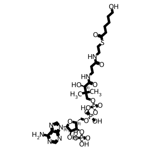 CC(C)(COP(=O)(O)OP(=O)(O)OC[C@H]1O[C@@H](n2cnc3c(N)ncnc32)[C@H](O)[C@@H]1OP(=O)(O)O)[C@@H](O)C(=O)NCCC(=O)NCCSC(=O)CCCCCO